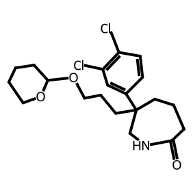 O=C1CCCC(CCCOC2CCCCO2)(c2ccc(Cl)c(Cl)c2)CN1